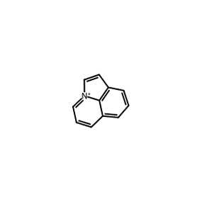 C1=C[n+]2cccc3cccc1c32